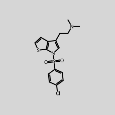 CN(C)CCc1cn(S(=O)(=O)c2ccc(Cl)cc2)c2sccc12